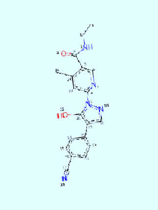 CCNC(=O)c1cnc(-n2ncc(-c3ccc(C#N)cc3)c2O)cc1C